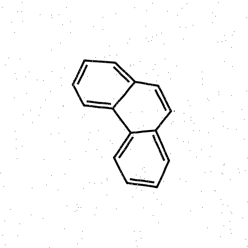 [c]1cc2ccccc2c2ccccc12